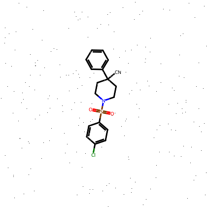 N#CC1(c2ccccc2)CCN(S(=O)(=O)c2ccc(Cl)cc2)CC1